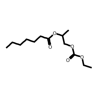 CCCCCCC(=O)OC(C)COC(=O)OCC